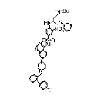 CN(CCC(CSc1ccccc1)Nc1ccc(S(=O)(=O)Nc2ncnc3cc(N4CCN(Cc5ccccc5-c5ccc(Cl)cc5)CC4)ccc23)cc1[N+](=O)[O-])C(C)(C)C